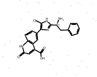 N[C@@H](Cc1ccccc1)c1nc(-c2ccc3[nH]c(=O)cc(C(=O)O)c3c2)c(Cl)[nH]1